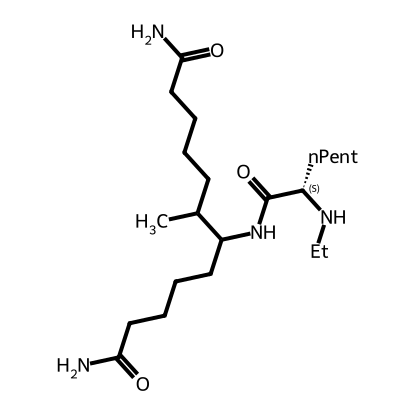 CCCCC[C@H](NCC)C(=O)NC(CCCCC(N)=O)C(C)CCCCC(N)=O